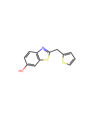 Oc1ccc2nc(Cc3cccs3)sc2c1